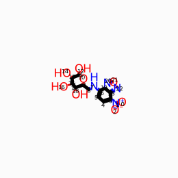 O=[N+]([O-])c1ccc(NCC2OC(O)C(O)[C@H](O)[C@@H]2O)c2nonc12